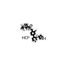 Cc1cc(-c2ccncc2OC2CCNC2)ccc1CNC(=O)c1cn(C(C)(C)C)nn1.Cl